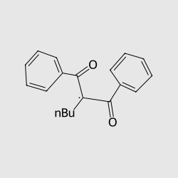 CCCC[C](C(=O)c1ccccc1)C(=O)c1ccccc1